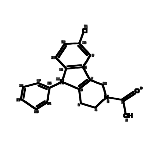 O=C(O)N1CCc2c(c3cc(Cl)ccc3n2-c2ccccc2)C1